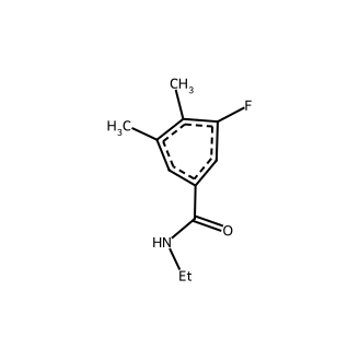 CCNC(=O)c1cc(C)c(C)c(F)c1